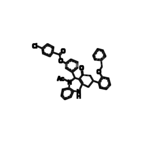 CC(=O)N1c2ccccc2NC2=C(C(=O)CC(c3ccccc3OCc3ccccc3)C2)C1c1cccc(OC(=O)c2ccc(Cl)cc2)c1